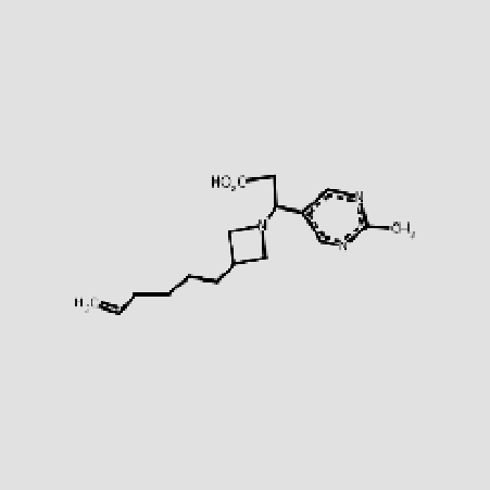 C=CCCCCC1CN(C(CC(=O)O)c2cnc(C)nc2)C1